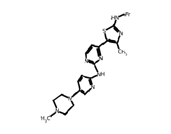 Cc1nc(NC(C)C)sc1-c1ccnc(Nc2ccc(N3CCN(C)CC3)cn2)n1